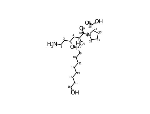 NCCCCC(O[PH](=O)CCCCCCCCO)C(=O)N1CCC[C@H]1C(=O)O